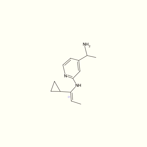 C/C=C(\Nc1cc(C(C)N)ccn1)C1CC1